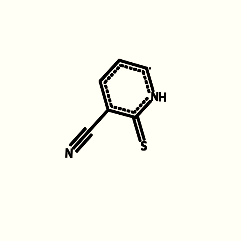 N#Cc1cc[c][nH]c1=S